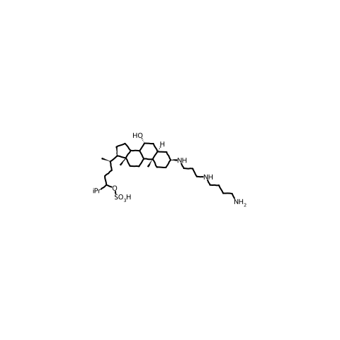 CC(C)C(CC[C@@H](C)[C@H]1CCC2C3C(CC[C@@]21C)[C@@]1(C)CC[C@H](NCCCNCCCCN)C[C@@H]1C[C@H]3O)OS(=O)(=O)O